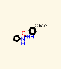 COc1ccc(NC(=O)NC2CCCC2)cc1